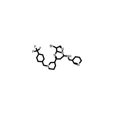 FC(F)(F)C1CCC(CN2CCCC(C3=NC4C(Br)C=NN4C(NCC4C=NCCC4)C3)C2)CC1